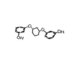 Oc1cccc(OC2CCCC(Oc3cccc(O)c3)C2)c1